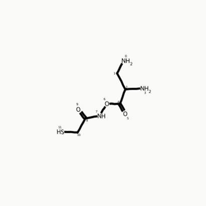 NCC(N)C(=O)ONC(=O)CS